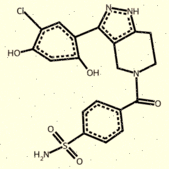 NS(=O)(=O)c1ccc(C(=O)N2CCc3[nH]nc(-c4cc(Cl)c(O)cc4O)c3C2)cc1